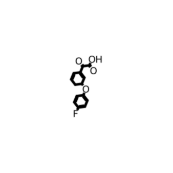 O=C(O)C(=O)C1=CC(Oc2ccc(F)cc2)CC=C1